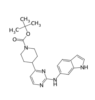 CC(C)(C)OC(=O)N1CCC(c2ccnc(Nc3ccc4cc[nH]c4c3)n2)CC1